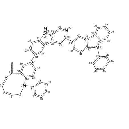 C=C1/C=C\C=C/CN(c2ccccc2)c2ccc(-c3cc4c(cn3)[SiH2]c3cnc(-c5ccc6c(c5)c5ccccc5n6-c5ccccc5)cc3-4)cc21